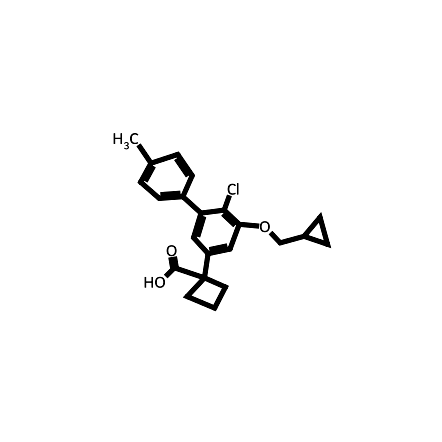 Cc1ccc(-c2cc(C3(C(=O)O)CCC3)cc(OCC3CC3)c2Cl)cc1